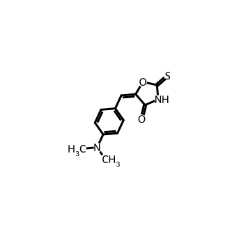 CN(C)c1ccc(/C=C2/OC(=S)NC2=O)cc1